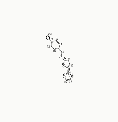 COc1ccc(/C=C/c2ccc(-c3nccs3)s2)cc1